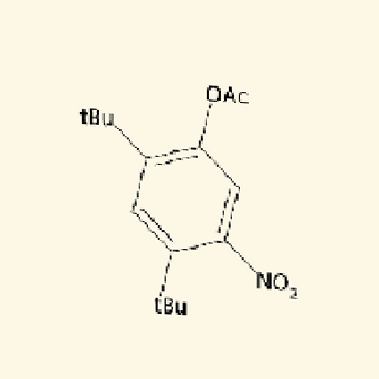 CC(=O)Oc1cc([N+](=O)[O-])c(C(C)(C)C)cc1C(C)(C)C